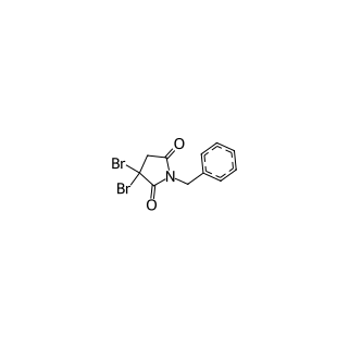 O=C1CC(Br)(Br)C(=O)N1Cc1ccccc1